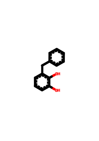 Oc1cccc([CH]c2ccccc2)c1O